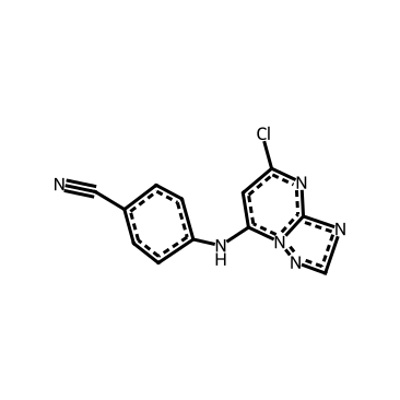 N#Cc1ccc(Nc2cc(Cl)nc3ncnn23)cc1